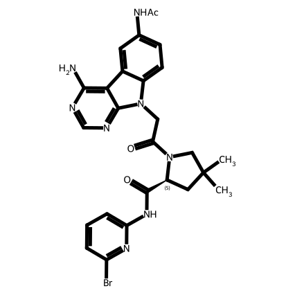 CC(=O)Nc1ccc2c(c1)c1c(N)ncnc1n2CC(=O)N1CC(C)(C)C[C@H]1C(=O)Nc1cccc(Br)n1